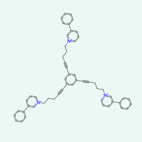 C(#Cc1cc(C#CCCC[n+]2cccc(-c3ccccc3)c2)cc(C#CCCC[n+]2cccc(-c3ccccc3)c2)c1)CCC[n+]1cccc(-c2ccccc2)c1